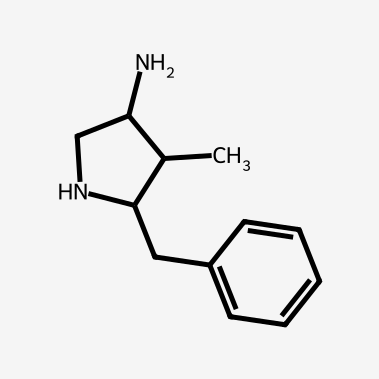 CC1C(N)CNC1Cc1ccccc1